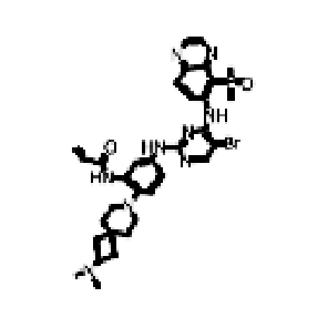 C=CC(=O)Nc1cc(Nc2ncc(Br)c(Nc3ccc4nccnc4c3P(C)(C)=O)n2)ccc1N1CCC2(CC1)CC(N(C)C)C2